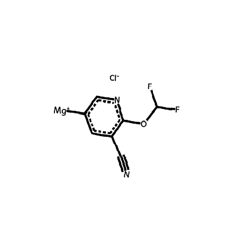 N#Cc1c[c]([Mg+])cnc1OC(F)F.[Cl-]